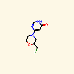 O=c1cc(N2CCOC(CF)C2)n[c][nH]1